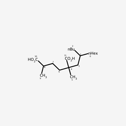 CCCCCCC(CCCC)CC(C)(CCC(C)C(=O)O)C(=O)O